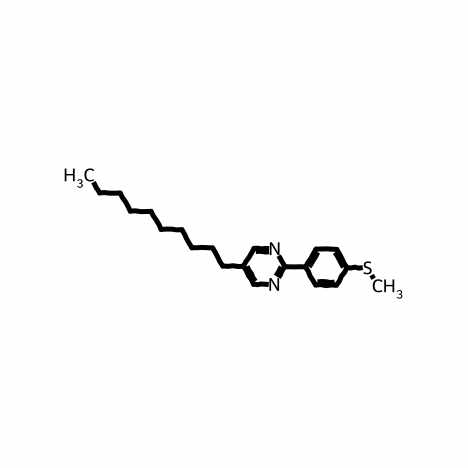 CCCCCCCCCCc1cnc(-c2ccc(SC)cc2)nc1